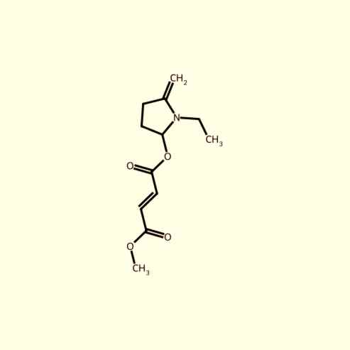 C=C1CCC(OC(=O)/C=C/C(=O)OC)N1CC